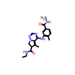 BNC(=O)c1ccc(C)c(NC2=NC=NN3CC(C(=O)NCC)C(C)=C23)c1